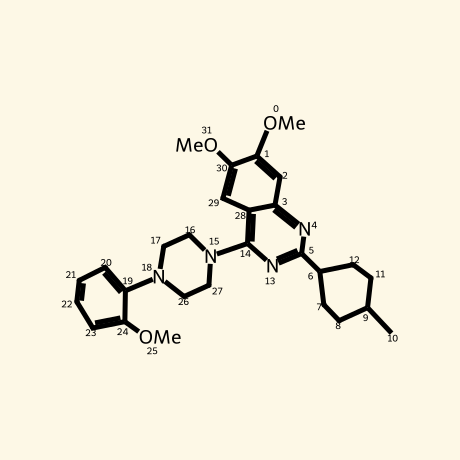 COc1cc2nc(C3CCC(C)CC3)nc(N3CCN(c4ccccc4OC)CC3)c2cc1OC